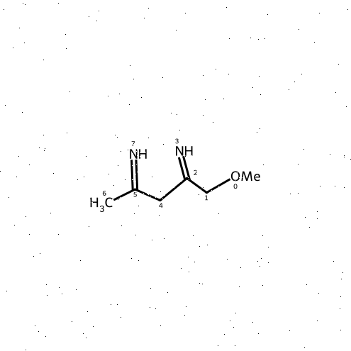 COCC(=N)CC(C)=N